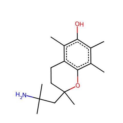 Cc1c(C)c2c(c(C)c1O)CCC(C)(CC(C)(C)N)O2